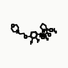 C=[N+](c1ccc(OCCN2CCOCC2)c(F)c1F)N1CCC[C@]1(C)C(=O)O